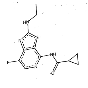 CCNc1nc2c(F)cnc(NC(=O)C3CC3)c2s1